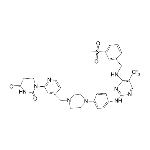 CS(=O)(=O)c1cccc(CNc2nc(Nc3ccc(N4CCN(Cc5ccnc(N6CCC(=O)NC6=O)c5)CC4)cc3)ncc2C(F)(F)F)c1